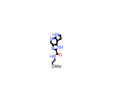 COCCNC(=O)c1nc2cnc3[nH]ccc3c2[nH]1